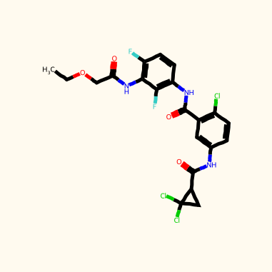 CCOCC(=O)Nc1c(F)ccc(NC(=O)c2cc(NC(=O)C3CC3(Cl)Cl)ccc2Cl)c1F